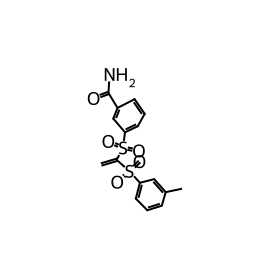 C=C(S(=O)(=O)c1cccc(C)c1)S(=O)(=O)c1cccc(C(N)=O)c1